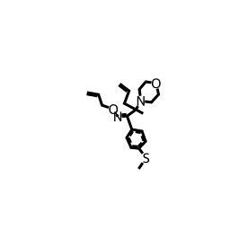 C=CCON=C(c1ccc(SC)cc1)C(C)(CC=C)N1CCOCC1